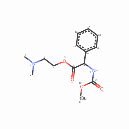 CN(C)CCOC(=O)C(NC(=O)OC(C)(C)C)c1ccccc1